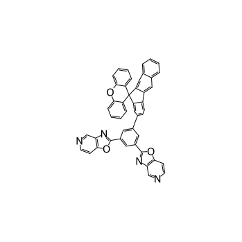 c1ccc2c(c1)Oc1ccccc1C21c2cc(-c3cc(-c4nc5cnccc5o4)cc(-c4nc5cnccc5o4)c3)ccc2-c2cc3ccccc3cc21